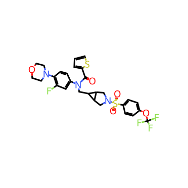 O=C(c1cccs1)N(CC1C2CN(S(=O)(=O)c3ccc(OC(F)(F)F)cc3)CC12)c1ccc(N2CCOCC2)c(F)c1